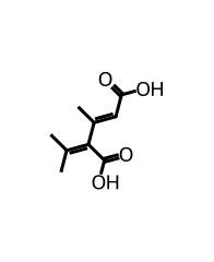 CC(C)=C(C(=O)O)/C(C)=C/C(=O)O